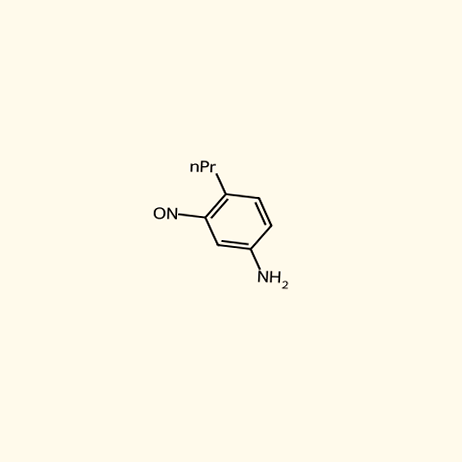 CCCc1ccc(N)cc1N=O